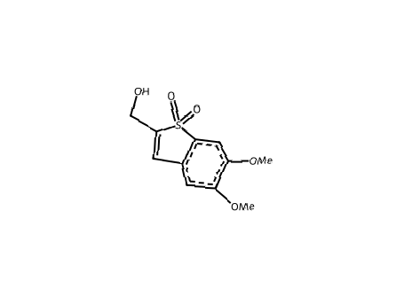 COc1cc2c(cc1OC)S(=O)(=O)C(CO)=C2